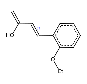 C=C(O)/C=C/c1ccccc1OCC